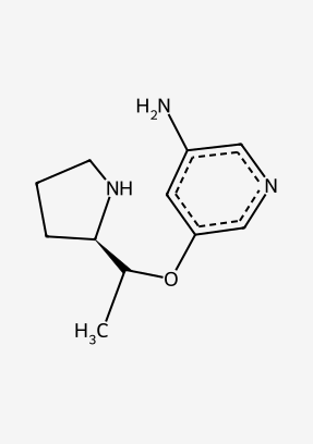 CC(Oc1cncc(N)c1)[C@H]1CCCN1